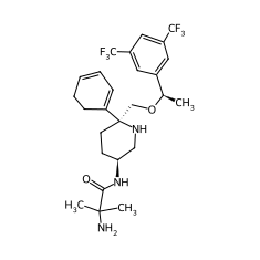 C[C@@H](OC[C@@]1(C2=CC=CCC2)CC[C@H](NC(=O)C(C)(C)N)CN1)c1cc(C(F)(F)F)cc(C(F)(F)F)c1